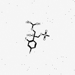 CCCCC(O)OC[C@](O)(COS(C)(=O)=O)c1ccc(F)cc1F